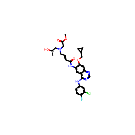 COC(=O)CN(CC=CC(=O)Nc1cc2c(Nc3ccc(F)c(Cl)c3)ncnc2cc1OCC1CC1)C[C@@H](C)O